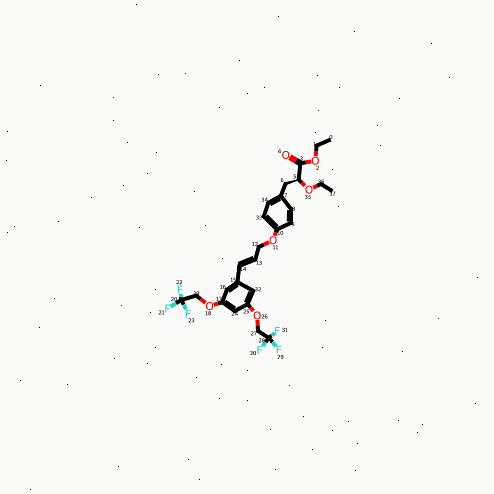 CCOC(=O)[C@H](Cc1ccc(OC/C=C/c2cc(OCC(F)(F)F)cc(OCC(F)(F)F)c2)cc1)OCC